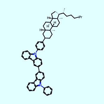 CC(C)CCC[C@@H](C)[C@H]1CC[C@H]2[C@@H]3CC[C@H]4CC(c5ccc(-n6c7ccccc7c7cc(-c8ccc9c(c8)c8ccccc8n9-c8ccccc8)ccc76)cc5)CC[C@]4(C)[C@H]3CC[C@]12C